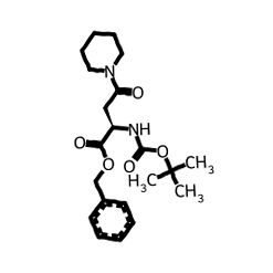 CC(C)(C)OC(=O)N[C@H](CC(=O)N1CCCCC1)C(=O)OCc1ccccc1